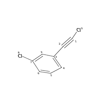 ClC#Cc1cccc(Cl)c1